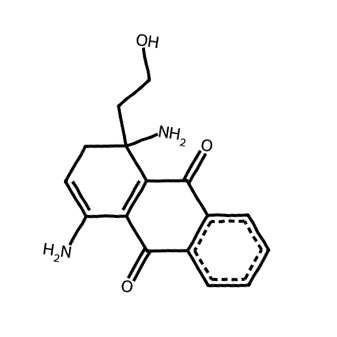 NC1=CCC(N)(CCO)C2=C1C(=O)c1ccccc1C2=O